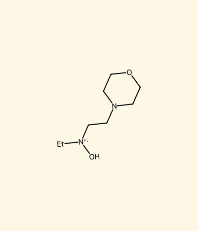 CC[N+](O)CCN1CCOCC1